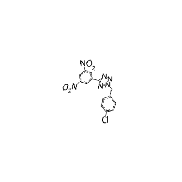 O=[N+]([O-])c1cc(-c2nnn(Cc3ccc(Cl)cc3)n2)cc([N+](=O)[O-])c1